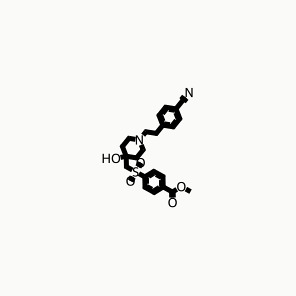 COC(=O)c1ccc(S(=O)(=O)CC2(O)CCN(CCc3ccc(C#N)cc3)CC2)cc1